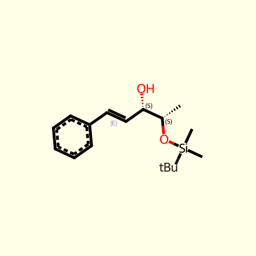 C[C@H](O[Si](C)(C)C(C)(C)C)[C@@H](O)/C=C/c1ccccc1